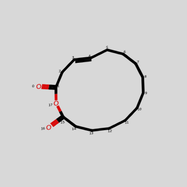 O=C1C/C=C/CCCCCCCCCCC(=O)O1